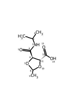 CC(C)NC(=O)[C@@H]1OC(C)O[C@H]1C(=O)O